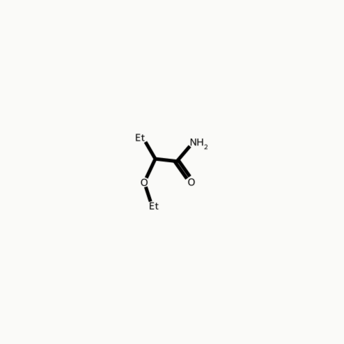 CCOC(CC)C(N)=O